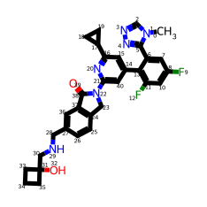 Cn1cnnc1-c1cc(F)cc(F)c1-c1cc(C2CC2)nc(N2Cc3ccc(CNCC4(O)CCC4)cc3C2=O)c1